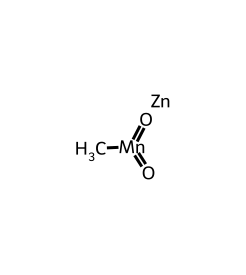 [CH3][Mn](=[O])=[O].[Zn]